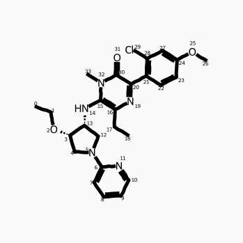 CCO[C@H]1CN(c2ccccn2)C[C@H]1Nc1c(CC)nc(-c2ccc(OC)cc2Cl)c(=O)n1C